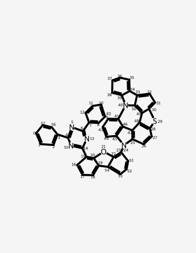 c1ccc(-c2nc(-c3ccccc3)nc(-c3cccc4c3oc3c(-n5c6ccc7sc8ccc9c%10ccccc%10n%10c%11cccc5c%11c6c7c8c9%10)cccc34)n2)cc1